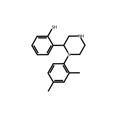 Cc1ccc(N2CCNCC2c2ccccc2S)c(C)c1